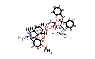 CCC(=O)O[C@](Cc1ccccc1)(c1ccccc1)[C@H](C)CN(C)C.COc1ccc2c3c1O[C@H]1[C@@H](O)C=C[C@H]4[C@@H](C2)N(C)CC[C@@]341